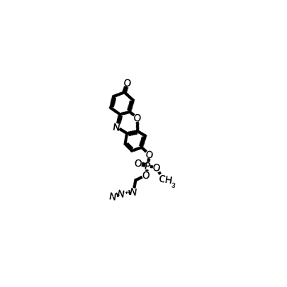 COP(=O)(OCN=[N+]=[N-])Oc1ccc2nc3ccc(=O)cc-3oc2c1